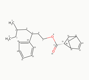 CCC(C)CC(CCOC(=O)[C@@H]1CC2C=CC1C2)c1ccccc1